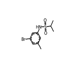 Cc1cc(Br)cc(NS(=O)(=O)C(C)C)c1